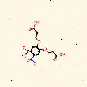 O=C(O)CCOc1cc([N+](=O)[O-])c([N+](=O)[O-])cc1OCCC(=O)O